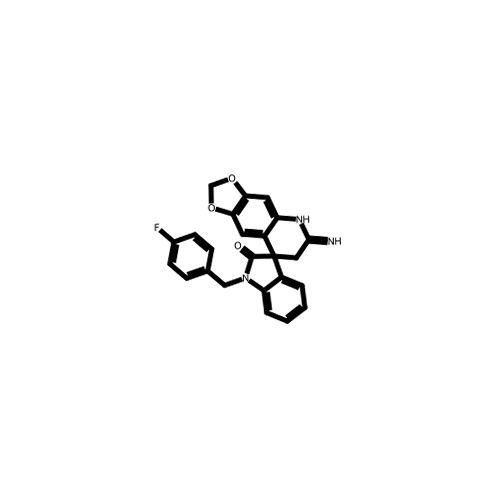 N=C1CC2(C(=O)N(Cc3ccc(F)cc3)c3ccccc32)c2cc3c(cc2N1)OCO3